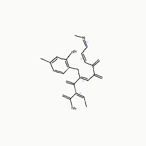 C=C(/C=C\C=N/C)C(=C)/C=C(\Cc1ccc(C)cc1CCC)C(=C)/C(=C/C)C(=C)CCC